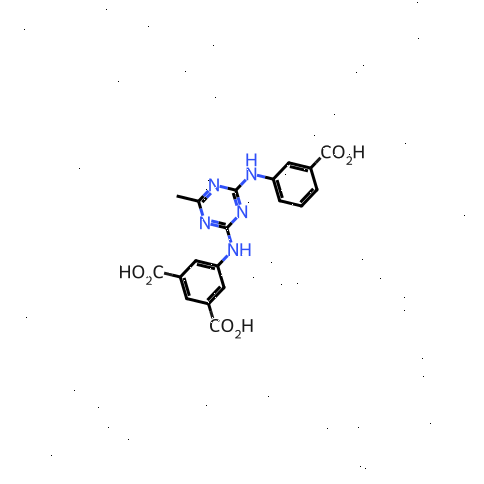 Cc1nc(Nc2cccc(C(=O)O)c2)nc(Nc2cc(C(=O)O)cc(C(=O)O)c2)n1